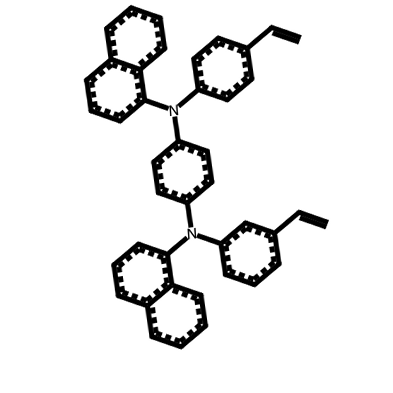 C=Cc1ccc(N(c2ccc(N(c3cccc(C=C)c3)c3cccc4ccccc34)cc2)c2cccc3ccccc23)cc1